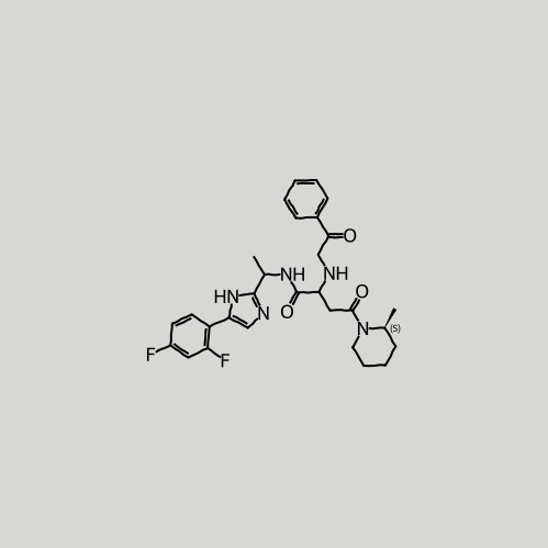 CC(NC(=O)C(CC(=O)N1CCCC[C@@H]1C)NCC(=O)c1ccccc1)c1ncc(-c2ccc(F)cc2F)[nH]1